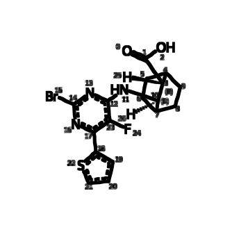 O=C(O)[C@@H]1C2CCC(CC2)[C@H]1Nc1nc(Br)nc(-c2cccs2)c1F